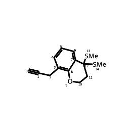 C#CCc1cccc2c1OCCC2(SC)SC